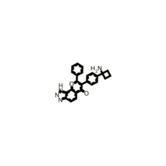 NC1(c2ccc(-c3c(-c4ccccc4)oc4c(ccc5nn[nH]c54)c3=O)cc2)CCC1